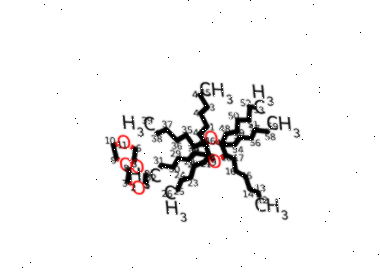 C1COCCO1.C1COCCO1.CCCCCCC1OC(CCCCCC)(CCCCCC)C(CCCCCC)(CCCCCC)OC1(CCCCCC)CCCCCC